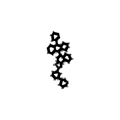 c1ccc(-c2c3ccccc3c(-c3cc4nn(-c5cccc(-c6cccnc6)c5)nc4c4ccccc34)c3ccccc23)cc1